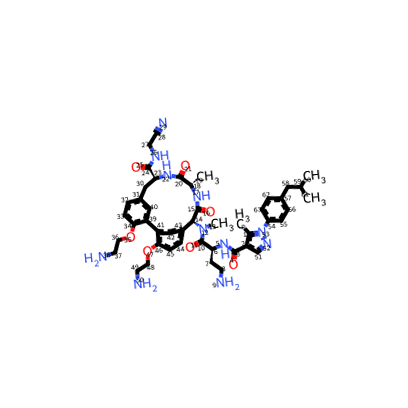 Cc1c(C(=O)N[C@@H](CCN)C(=O)N(C)[C@@H]2C(=O)N[C@@H](C)C(=O)N[C@H](C(=O)NCC#N)Cc3ccc(OCCN)c(c3)-c3cc2ccc3OCCN)cnn1-c1ccc(CC(C)C)cc1